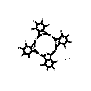 Fc1c(F)c(F)c2c(c1F)-c1nc-2nc2[n-]c(nc3nc(nc4[n-]c(n1)c1c(F)c(F)c(F)c(F)c41)-c1c(F)c(F)c(F)c(F)c1-3)c1c(F)c(F)c(F)c(F)c21.[Zn+2]